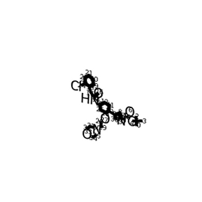 CC(C)(C)OC(=O)n1cc(-c2ccc(NC(=O)Cc3ccccc3Cl)cc2OCCN2CCOCC2)cn1